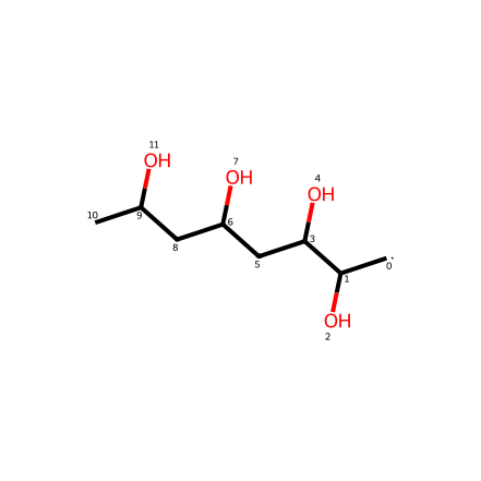 [CH2]C(O)C(O)CC(O)CC(C)O